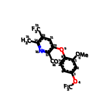 COc1cc(OC(F)(F)F)ccc1Oc1cc(C(F)(F)F)c(C)nc1C(=O)O